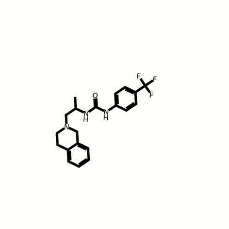 CC(CN1CCc2ccccc2C1)NC(=O)Nc1ccc(C(F)(F)F)cc1